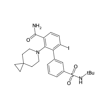 CC(C)(C)NS(=O)(=O)c1cccc(-c2c(I)ccc(C(N)=O)c2N2CCC3(CC2)CC3)c1